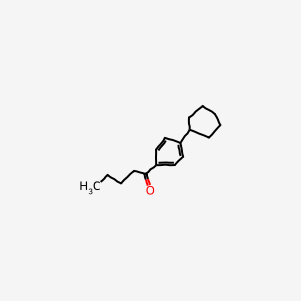 CCCCC(=O)c1ccc(C2CCCCC2)cc1